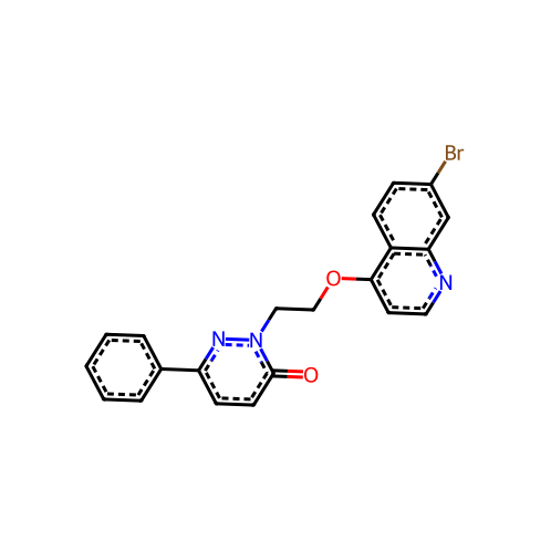 O=c1ccc(-c2ccccc2)nn1CCOc1ccnc2cc(Br)ccc12